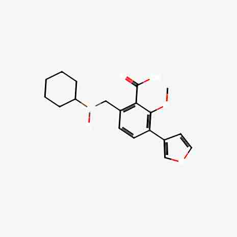 COc1c(-c2ccoc2)ccc(C[S+]([O-])C2CCCCC2)c1C(=O)O